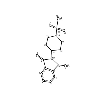 O=C1c2ccccc2C(O)N1C1CCC(S(=O)(=O)O)CC1